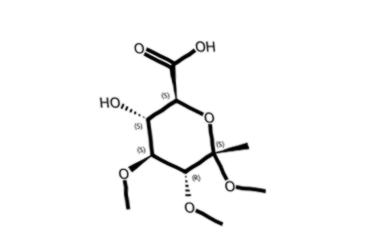 CO[C@H]1[C@H](O)[C@@H](C(=O)O)O[C@](C)(OC)[C@@H]1OC